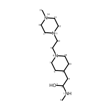 CNC(O)CC1CCN(CCN2CCN(C)CC2)CC1